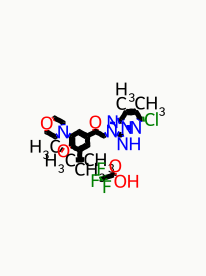 COc1c(N2CCOCC2)cc(C(=O)Cn2nc3c(C)c(C)c(Cl)nn3c2=N)cc1C(C)(C)C.O=C(O)C(F)(F)F